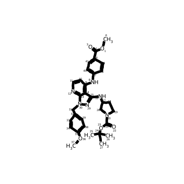 COC(=O)c1ccc(Nc2ccnc3c2c(NC2CCN(C(=O)OC(C)(C)C)C2)nn3Cc2ccc(OC)cc2)cc1